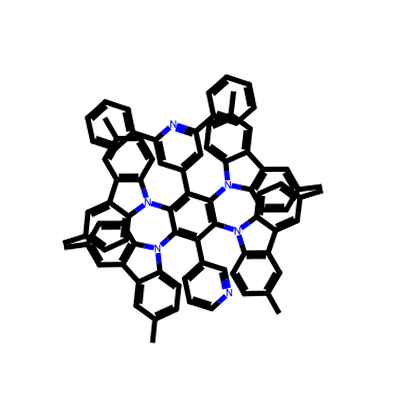 Cc1ccc2c(c1)c1cc(C)ccc1n2-c1c(-c2cccnc2)c(-n2c3ccc(C)cc3c3cc(C)ccc32)c(-n2c3ccc(C)cc3c3cc(C)ccc32)c(-c2cc(-c3ccccc3)nc(-c3ccccc3)c2)c1-n1c2ccc(C)cc2c2cc(C)ccc21